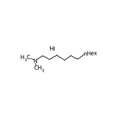 CCCCCCCCCCCCN(C)C.I